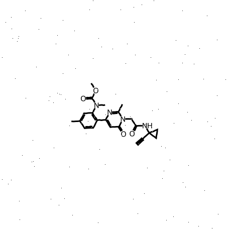 C#CC1(NC(=O)Cn2c(C)nc(-c3ccc(C)cc3N(C)C(=O)OC)cc2=O)CC1